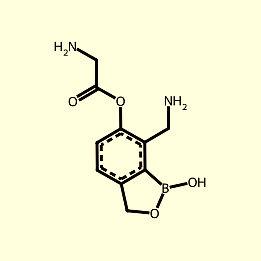 NCC(=O)Oc1ccc2c(c1CN)B(O)OC2